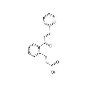 O=C(O)/C=C/c1ccccc1C(=O)/C=C/c1ccccc1